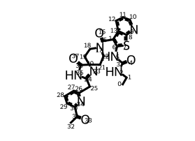 CCNC(=O)Nc1sc2ncccc2c1C(=O)N1CCC2(CC1)N=C(Cc1cccc(C(C)=O)n1)NC2=O